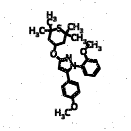 COc1ccc(-c2cc(OC3CC(C)(C)SC(C)(C)C3)nn2-c2ccccc2OC)cc1